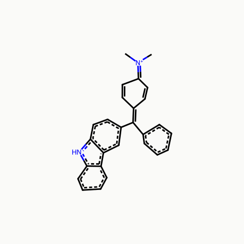 C[N+](C)=C1C=CC(=C(c2ccccc2)c2ccc3[nH]c4ccccc4c3c2)C=C1